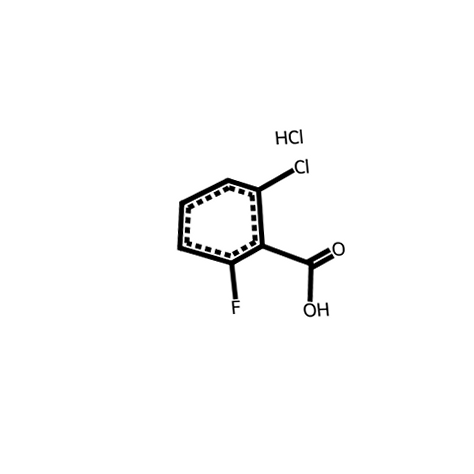 Cl.O=C(O)c1c(F)cccc1Cl